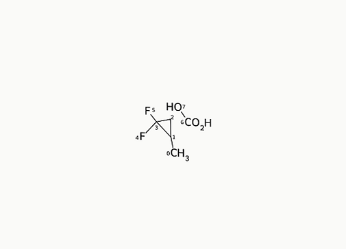 CC1CC1(F)F.O=C(O)O